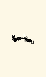 O=c1[nH]c2c(N3CCN(CCCCNS(=O)(=O)c4ccc5cc(Cl)ccc5c4)CC3)cccc2o1